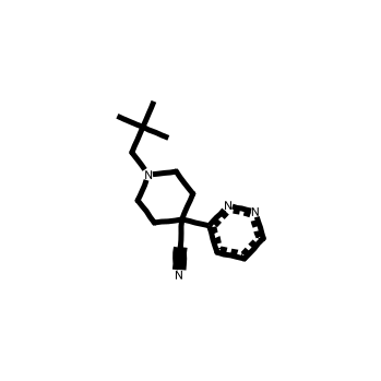 CC(C)(C)CN1CCC(C#N)(c2cccnn2)CC1